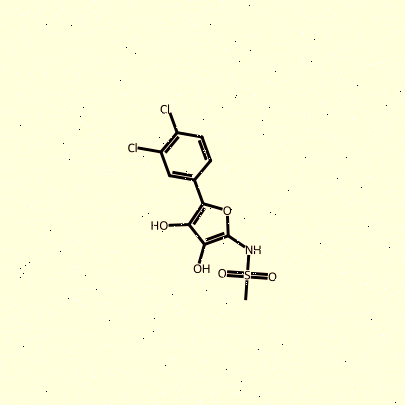 CS(=O)(=O)Nc1oc(-c2ccc(Cl)c(Cl)c2)c(O)c1O